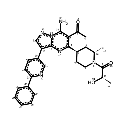 CC(=O)c1c([C@@H]2CCN(C(=O)[C@H](C)O)[C@@H](C)C2)nc2c(-c3ccc(-c4ccccc4)nc3)cnn2c1N